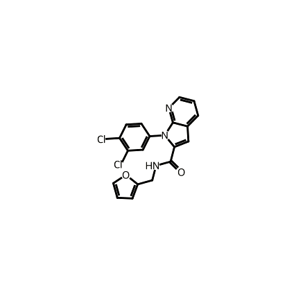 O=C(NCc1ccco1)c1cc2cccnc2n1-c1ccc(Cl)c(Cl)c1